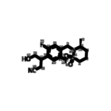 C[C@H]1CCCS(=O)(=O)N1Cc1cc(F)c(C(CO)CC#N)cc1F